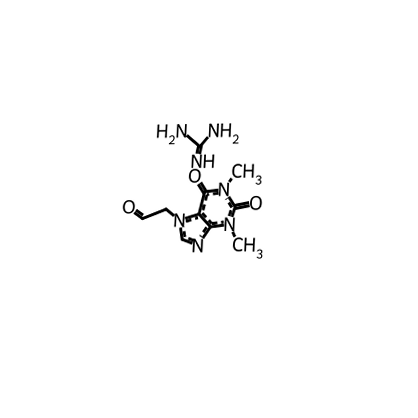 Cn1c(=O)c2c(ncn2CC=O)n(C)c1=O.N=C(N)N